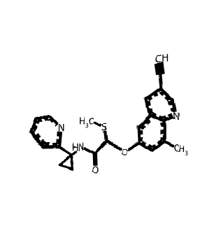 C#Cc1cnc2c(C)cc(OC(SC)C(=O)NC3(c4ccccn4)CC3)cc2c1